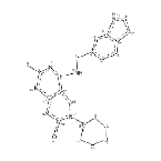 Cc1nc(NCc2ccc3cc[nH]c3c2)c2cn(N3CCOCC3)c(=O)cc2n1